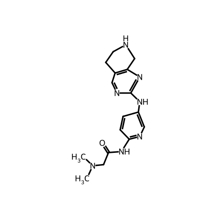 CN(C)CC(=O)Nc1ccc(Nc2ncc3c(n2)CNCC3)cn1